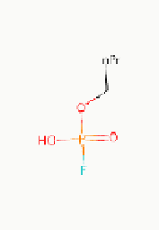 CCCCOP(=O)(O)F